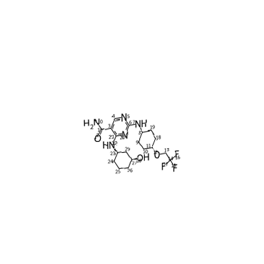 NC(=O)c1cnc(NC2CCC(OCC(F)(F)F)CC2)nc1N[C@@H]1CCC[C@H](O)C1